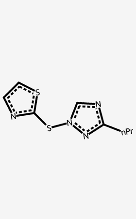 CCCc1ncn(Sc2nccs2)n1